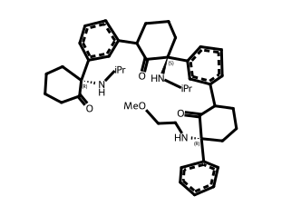 COCCN[C@@]1(c2ccccc2)CCCC(c2cccc([C@@]3(NC(C)C)CCCC(c4cccc([C@]5(NC(C)C)CCCCC5=O)c4)C3=O)c2)C1=O